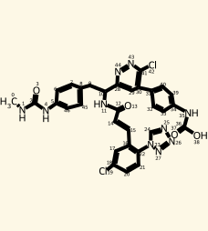 CNC(=O)Nc1ccc(CC(NC(=O)C=Cc2cc(Cl)ccc2-n2cnnn2)c2cc(-c3ccc(NC(=O)O)cc3)c(Cl)nn2)cc1